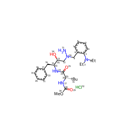 CCN(CC)c1ccccc1CN(N)C[C@H](O)[C@H](Cc1ccccc1)NC(=O)[C@@H](NC(=O)OC)C(C)(C)C.Cl